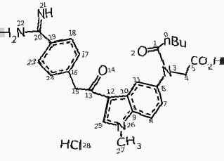 CCCCC(=O)N(CC(=O)O)c1ccc2c(c1)c(C(=O)Cc1ccc(C(=N)N)cc1)cn2C.Cl